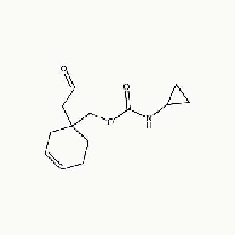 O=CCC1(COC(=O)NC2CC2)CC=CCC1